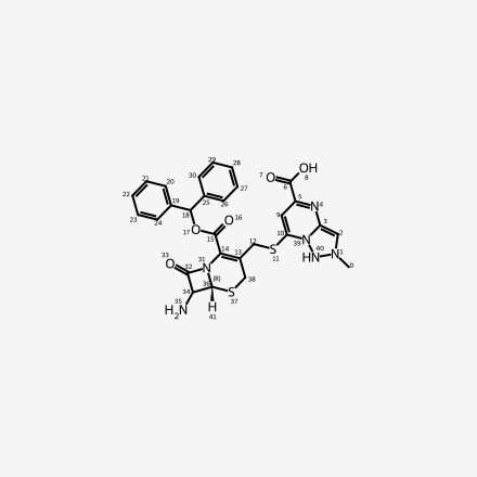 CN1C=C2N=C(C(=O)O)C=C(SCC3=C(C(=O)OC(c4ccccc4)c4ccccc4)N4C(=O)C(N)[C@H]4SC3)N2N1